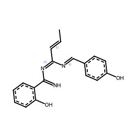 C/C=C/C(=N/C(=N)c1ccccc1O)/N=C/c1ccc(O)cc1